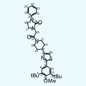 COc1c(C(C)(C)C)cc(-c2nc(C3CCN(C(=O)CN4CCN(c5ccccc5)C4=O)CC3)cs2)cc1C(C)(C)C